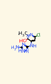 CN1N=C(Cl)C=C(Nc2n[nH]c(N)n2)C1O